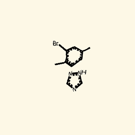 Cc1ccc(C)c(Br)c1.c1nc[nH]n1